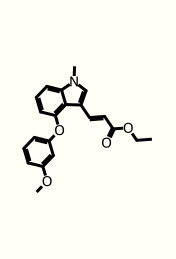 CCOC(=O)C=Cc1cn(C)c2cccc(Oc3cccc(OC)c3)c12